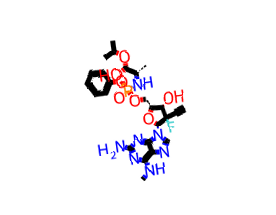 C#C[C@@]1(F)[C@H](O)[C@@H](COP(=O)(N[C@@H](C)C(O)OC(C)C)Oc2ccccc2)O[C@H]1n1cnc2c(NC)nc(N)nc21